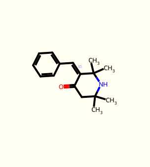 CC1(C)CC(=O)/C(=C\c2ccccc2)C(C)(C)N1